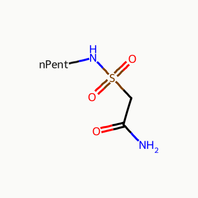 CCCCCNS(=O)(=O)CC(N)=O